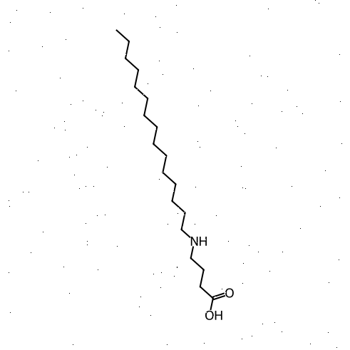 CCCCCCCCCCCCCCCNCCCC(=O)O